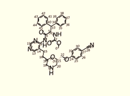 COC(=O)N[C@H](C(=O)Nc1ncncc1CC[C@@H]1CNC[C@@H](COc2ccc(C#N)cc2)O1)C(c1ccccc1)c1ccccc1